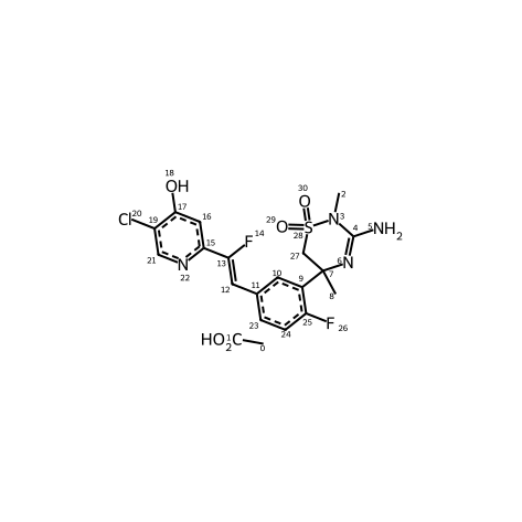 CC(=O)O.CN1C(N)=NC(C)(c2cc(C=C(F)c3cc(O)c(Cl)cn3)ccc2F)CS1(=O)=O